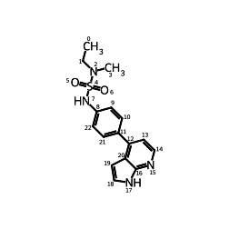 CCN(C)S(=O)(=O)Nc1ccc(-c2ccnc3[nH]ccc23)cc1